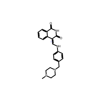 CN1CCN(Cc2ccc(N/C=C3\C(=O)NC(=O)c4ccccc43)cc2)CC1